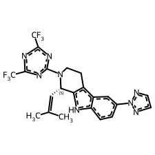 CC(C)=C[C@H]1c2[nH]c3ccc(-n4nccn4)cc3c2CCN1c1nc(C(F)(F)F)nc(C(F)(F)F)n1